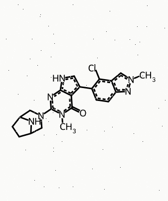 Cn1cc2c(Cl)c(-c3c[nH]c4nc(N5CC6CCC(C5)N6)n(C)c(=O)c34)ccc2n1